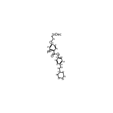 CCCCCCCCCCCCOc1ccc(C(=O)Oc2ccc(CCC3CC[CH]CC3)cc2)c(F)c1